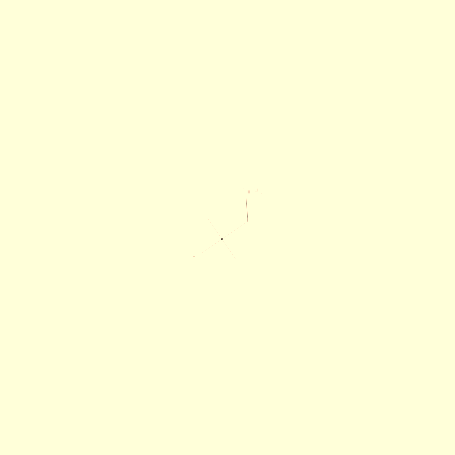 CCCCC[C]([K])(CC)CC